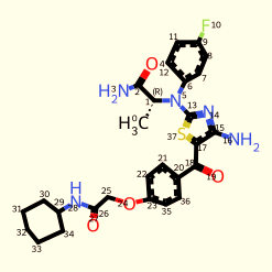 C[C@H](C(N)=O)N(c1ccc(F)cc1)c1nc(N)c(C(=O)c2ccc(OCC(=O)NC3CCCCC3)cc2)s1